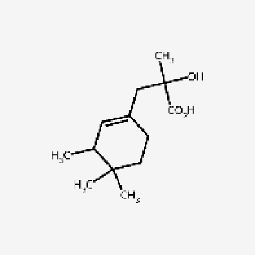 CC1C=C(CC(C)(O)C(=O)O)CCC1(C)C